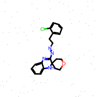 Clc1ccccc1CCN=NC1=Nc2ccccc2NC12CCOCC2